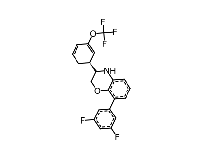 Fc1cc(F)cc(-c2cccc3c2OCC([C@@H]2C=C(OC(F)(F)F)C=CC2)N3)c1